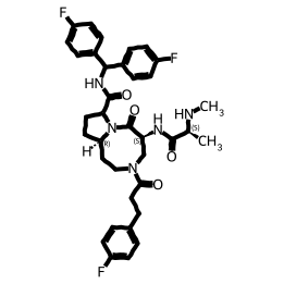 CN[C@@H](C)C(=O)N[C@H]1CN(C(=O)CCc2ccc(F)cc2)CC[C@H]2CCC(C(=O)NC(c3ccc(F)cc3)c3ccc(F)cc3)N2C1=O